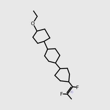 CCOC1CCC(C2CCC(C3CCC(/C(F)=C(/C)F)CC3)CC2)CC1